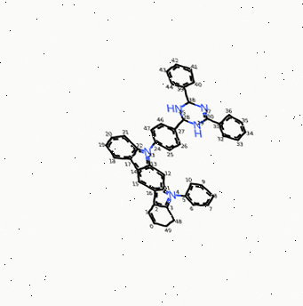 C1=Cc2c(n(-c3ccccc3)c3cc4c(cc23)c2ccccc2n4-c2ccc(C3NC(c4ccccc4)=NC(c4ccccc4)N3)cc2)CC1